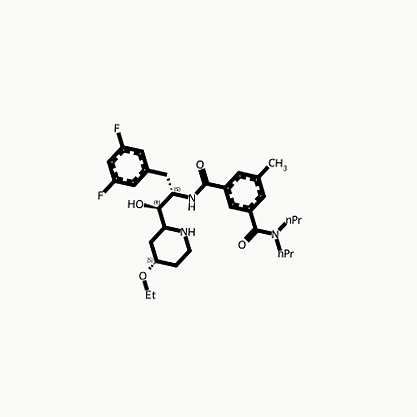 CCCN(CCC)C(=O)c1cc(C)cc(C(=O)N[C@@H](Cc2cc(F)cc(F)c2)[C@H](O)C2C[C@@H](OCC)CCN2)c1